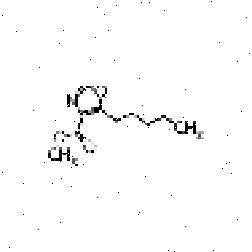 CCCCCc1ocnc1C(=O)OC